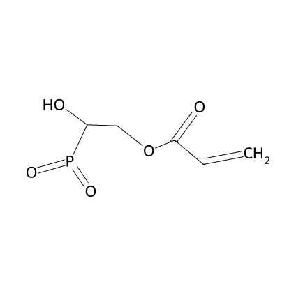 C=CC(=O)OCC(O)P(=O)=O